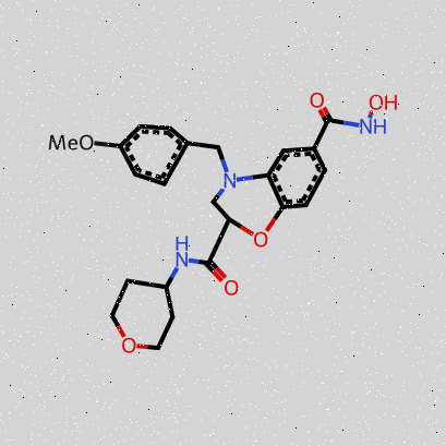 COc1ccc(CN2CC(C(=O)NC3CCOCC3)Oc3ccc(C(=O)NO)cc32)cc1